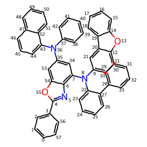 c1ccc(-c2nc3c(N(c4ccc5oc6ccccc6c5c4)c4ccccc4-c4ccccc4)cc(N(c4ccccc4)c4cccc5ccccc45)cc3o2)cc1